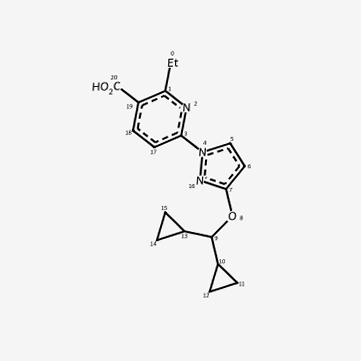 CCc1nc(-n2ccc(OC(C3CC3)C3CC3)n2)ccc1C(=O)O